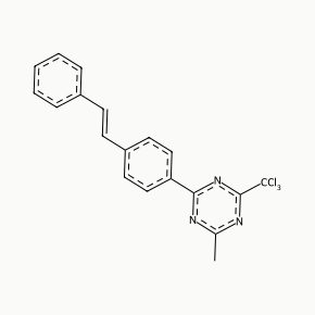 Cc1nc(-c2ccc(C=Cc3ccccc3)cc2)nc(C(Cl)(Cl)Cl)n1